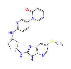 CSc1cnc2[nH]c(N[C@H]3CC[C@H](Nc4ccc(-n5ccccc5=O)cn4)C3)nc2c1